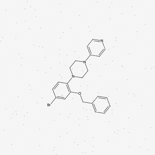 Brc1ccc(N2CCN(c3ccncc3)CC2)c(OCc2ccccc2)c1